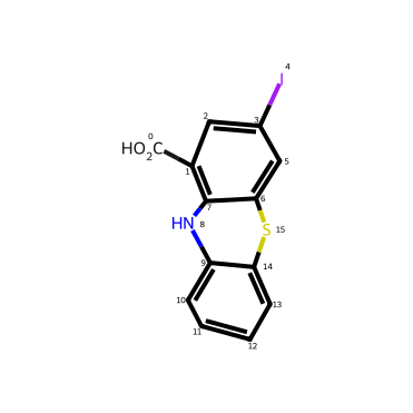 O=C(O)c1cc(I)cc2c1Nc1ccccc1S2